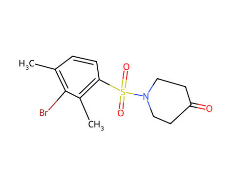 Cc1ccc(S(=O)(=O)N2CCC(=O)CC2)c(C)c1Br